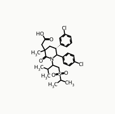 CC(C)C(CS(=O)(=O)C(C)C)N1C(=O)C(C)(CC(=O)O)C[C@H](c2cccc(Cl)c2)C1c1ccc(Cl)cc1